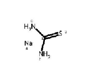 NC(N)=S.[Na]